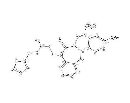 CCOC(=O)CO[C@H]1C(=O)N(CCN(C)CCc2cccs2)c2ccccc2S[C@H]1c1ccc(OC)cc1